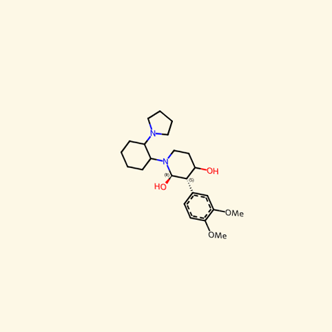 COc1ccc([C@H]2C(O)CCN(C3CCCCC3N3CCCC3)[C@@H]2O)cc1OC